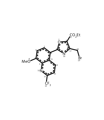 CCOC(=O)c1oc(-c2ccc(OC)c3nc(C(F)(F)F)ccc23)nc1CBr